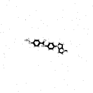 CCCCOc1ccc(C(=O)Nc2ccc(N3CCC4C3CCN4C)cc2)cc1